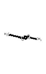 CCCCCCCCCCCCOC(=O)C1CCC(C(=O)OCCCCCCC)CC1